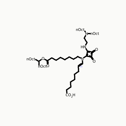 CCCCCCCCC(CCCCCCCC)OC(=O)CCCCCCCN(/C=C/CCCCCCC(=O)O)c1c(NCCN(CCCCCCCC)CCCCCCCC)c(=O)c1=O